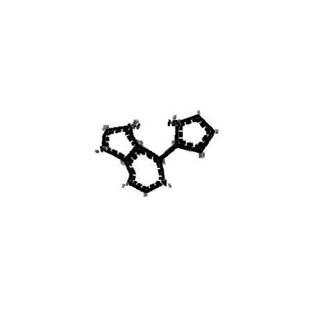 c1c[nH]c(-c2ncnc3nc[nH]c23)c1